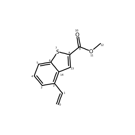 C=Cc1cccc2sc(C(=O)OC)cc12